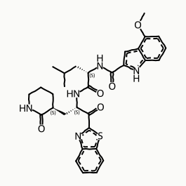 COc1cccc2[nH]c(C(=O)N[C@@H](CC(C)C)C(=O)N[C@@H](C[C@@H]3CCCNC3=O)C(=O)c3nc4ccccc4s3)cc12